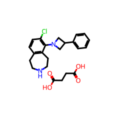 Clc1ccc2c(c1N1CC(c3ccccc3)C1)CCNCC2.O=C(O)CCC(=O)O